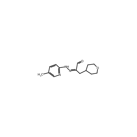 Cc1ccc(N/N=C(\C=O)CC2CCOCC2)nc1